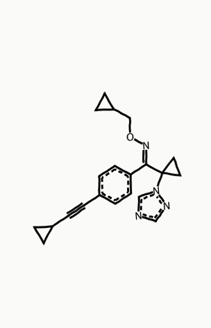 C(#CC1CC1)c1ccc(/C(=N\OCC2CC2)C2(n3cncn3)CC2)cc1